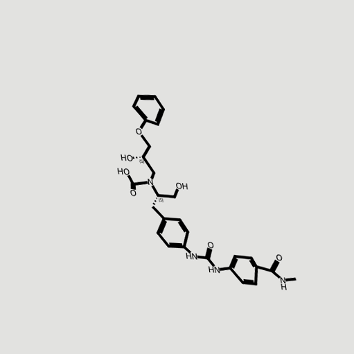 CNC(=O)c1ccc(NC(=O)Nc2ccc(C[C@@H](CO)N(C[C@H](O)COc3ccccc3)C(=O)O)cc2)cc1